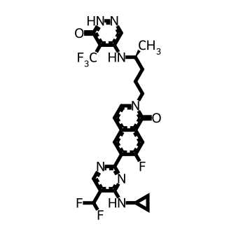 C[C@@H](CCCn1ccc2cc(-c3ncc(C(F)F)c(NC4CC4)n3)c(F)cc2c1=O)Nc1cn[nH]c(=O)c1C(F)(F)F